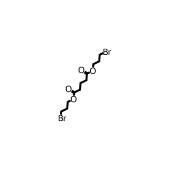 O=C(CCCC(=O)OCCCBr)OCCCBr